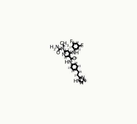 CCN(C(N)=O)c1cc(Nc2cc(F)cc(F)c2)c(C(=O)Nc2ccc(CCc3nnn[nH]3)cc2)cn1